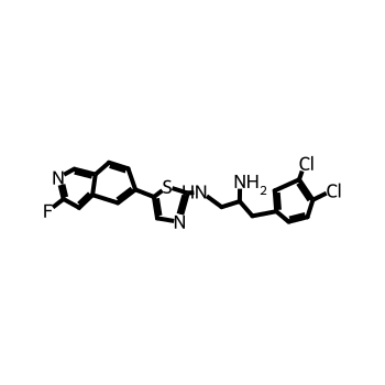 NC(CNc1ncc(-c2ccc3cnc(F)cc3c2)s1)Cc1ccc(Cl)c(Cl)c1